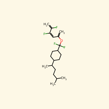 C=C(/C=C(/F)C(=C)F)OC(F)(F)C1CCC(C(C)CCC(C)C)CC1